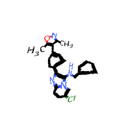 Cc1noc(C)c1-c1ccc(-c2nc3ccc(Cl)cn3c2NCc2ccccc2)cc1